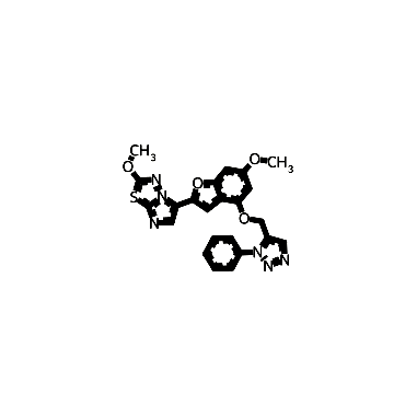 COc1cc(OCc2cnnn2-c2ccccc2)c2cc(-c3cnc4sc(OC)nn34)oc2c1